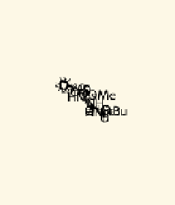 COC(=O)C(CNC(=O)CNC(=O)OC(C)(C)C)NC(=O)OCc1ccccc1